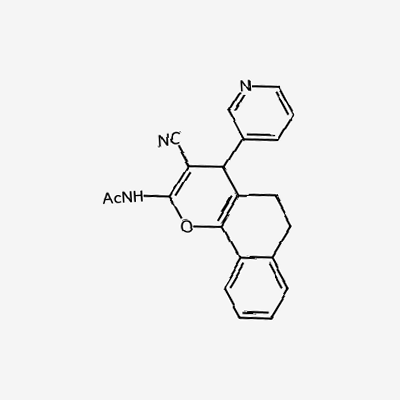 CC(=O)NC1=C(C#N)C(c2cccnc2)C2=C(O1)c1ccccc1CC2